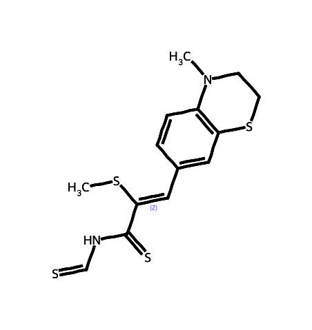 CS/C(=C\c1ccc2c(c1)SCCN2C)C(=S)NC=S